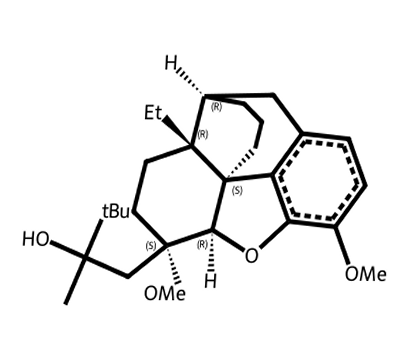 CC[C@]12CC[C@@](CC(C)(O)C(C)(C)C)(OC)[C@@H]3Oc4c(OC)ccc5c4[C@@]31CCC[C@@H]2C5